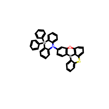 c1ccc([Si]2(c3ccccc3)c3ccccc3N(c3ccc4c(c3)Oc3cccc5c3B4c3ccccc3S5)c3ccccc32)cc1